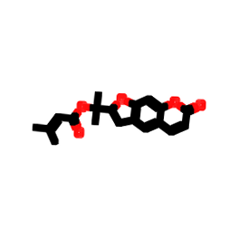 CC(C)=CC(=O)OC(C)(C)C1Cc2cc3ccc(=O)oc3cc2O1